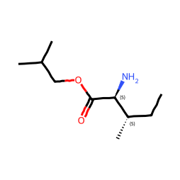 CC[C@H](C)[C@H](N)C(=O)OCC(C)C